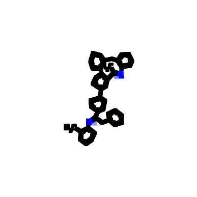 C/C1=N\c2ccccc2Cc2ccccc2-c2ccc(-c3ccc(/C(Cc4ccccc4)=N/c4ccccc4C)cc3)cc21